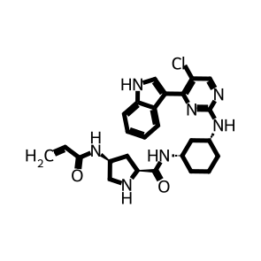 C=CC(=O)N[C@@H]1CN[C@H](C(=O)N[C@H]2CCC[C@@H](Nc3ncc(Cl)c(-c4c[nH]c5ccccc45)n3)C2)C1